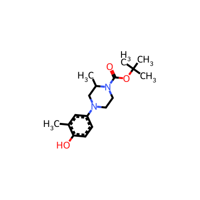 Cc1cc(N2CCN(C(=O)OC(C)(C)C)C(C)C2)ccc1O